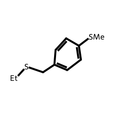 CCSCc1ccc(SC)cc1